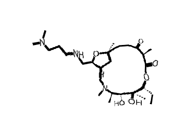 CC[C@H]1OC(=O)[C@H](C)C(=O)CC[C@@]2(C)C[C@H](CN(C)[C@H](C)[C@@H](O)[C@]1(C)O)C(CNCCCN(C)C)O2